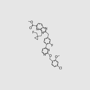 COC(=O)c1ccc2nc(Cc3ccc(-c4ccnc(OCc5ccc(Cl)cc5OC)n4)c(F)c3)n(CC3(CF)CC3)c2n1